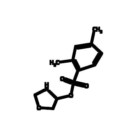 Cc1ccc(S(=O)(=O)OC2COCN2)c(C)c1